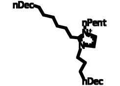 CCCCCCCCCCCCCCCCc1n(CCCCCCCCCCCCC)cc[n+]1CCCCC